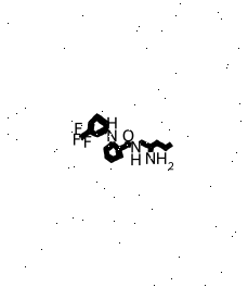 CCCC(N)CNC(=O)c1ccccc1Nc1cccc(C(F)(F)F)c1